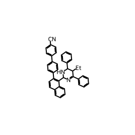 CCC1C(c2ccccc2)=NC(c2c(-c3ccc(-c4ccc(C#N)cc4)cc3)ccc3ccccc23)NC1c1ccccc1